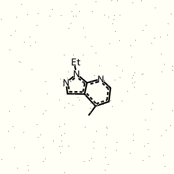 CCn1ncc2c(C)ccnc21